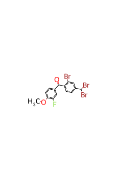 COc1ccc(C(=O)c2ccc(C(Br)Br)cc2Br)cc1F